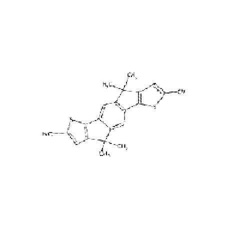 CC1(C)c2cc3c(cc2-c2sc(C#N)cc21)C(C)(C)c1cc(C#N)sc1-3